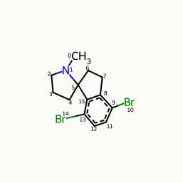 CN1CCCC12CCc1c(Br)ccc(Br)c12